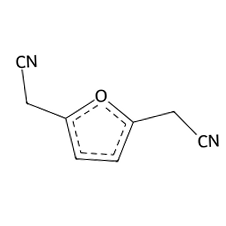 N#CCc1ccc(CC#N)o1